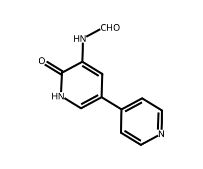 O=CNc1cc(-c2ccncc2)c[nH]c1=O